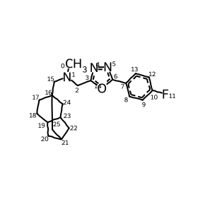 CN(Cc1nnc(-c2ccc(F)cc2)o1)CC12CCC3CC(CC3C1)C2